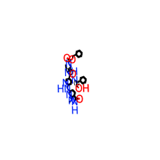 Cn1[nH]c(=O)c2ccc(Nc3cc(N[C@H](CO)c4ccccc4)c(C4=N[C@]5(CCN(C(=O)OCc6ccccc6)C5)CO4)cn3)nc21